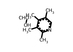 Cc1cnc(C)c(C)c1C.O=CO